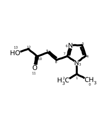 CC(C)n1ccnc1/C=C/C(=O)CO